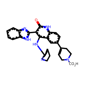 O=C(O)N1CC=C(c2ccc3[nH]c(=O)c(-c4nc5ccccc5[nH]4)c(NC4CN5CCC4CC5)c3c2)CC1